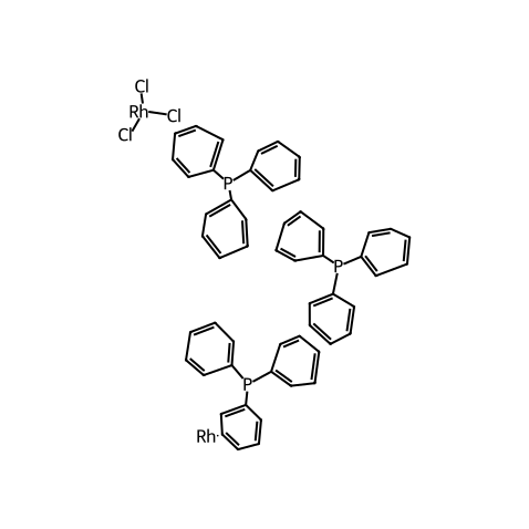 [Cl][Rh]([Cl])[Cl].[Rh].c1ccc(P(c2ccccc2)c2ccccc2)cc1.c1ccc(P(c2ccccc2)c2ccccc2)cc1.c1ccc(P(c2ccccc2)c2ccccc2)cc1